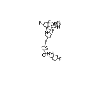 O=C(NCc1ccc(F)cc1)c1ccc(C#Cc2ccc(C(F)(F)C(O)(Cn3ncnn3)c3ccc(F)cc3F)nc2)s1